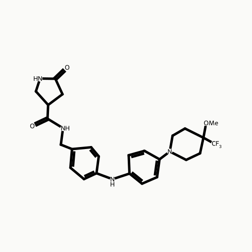 COC1(C(F)(F)F)CCN(c2ccc(Nc3ccc(CNC(=O)C4CNC(=O)C4)cc3)cc2)CC1